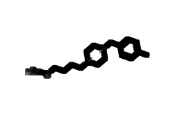 CCCCOCCCCN1CCN(Cc2ccc(C)cc2)CC1